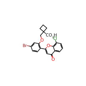 O=C(O)C1(COc2cc(Br)ccc2-c2cc(=O)c3cccc(Cl)c3o2)CCC1